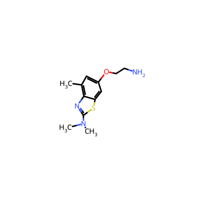 Cc1cc(OCCN)cc2sc(N(C)C)nc12